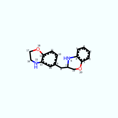 c1ccc2c(c1)NC(Cc1ccc3c(c1)NCCO3)CO2